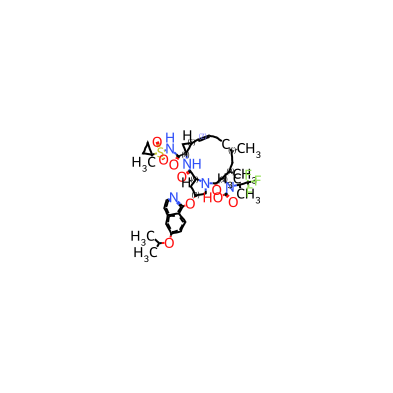 CC(C)Oc1ccc2c(O[C@@H]3C[C@H]4C(=O)N[C@]5(C(=O)NS(=O)(=O)C6(C)CC6)C[C@H]5/C=C\CC[C@H](C)C[C@@H](C)[C@H](N(C(=O)O)C(C)(C)C(F)(F)F)C(=O)N4C3)nccc2c1